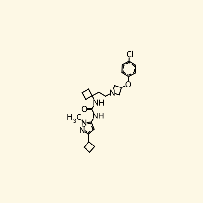 Cn1nc(C2CCC2)cc1NC(=O)NC1(CCN2CC(Oc3ccc(Cl)cc3)C2)CCC1